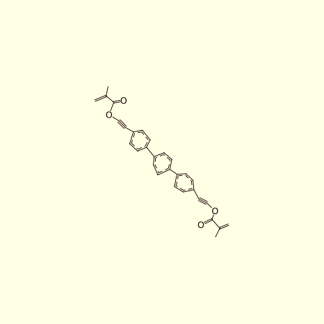 C=C(C)C(=O)OC#Cc1ccc(-c2ccc(-c3ccc(C#COC(=O)C(=C)C)cc3)cc2)cc1